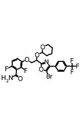 NC(=O)c1c(F)ccc(OCC(OC2CCCCO2)c2nc(-c3ccc(C(F)(F)F)cc3)c(Br)o2)c1F